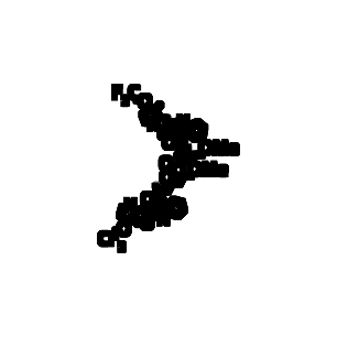 COCCCC(CN(C)C(=O)n1c([S+]([O-])Cc2nccc(OCC(F)(F)F)c2C)nc2ccccc21)OC(=O)OC(CCCOC)CN(C)C(=O)n1c([S+]([O-])Cc2nccc(OCC(F)(F)F)c2C)nc2ccccc21